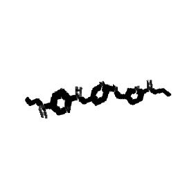 CCCNc1ccc(NCc2ccc(/N=C/c3ccc(NCCC)nc3)nc2)nc1